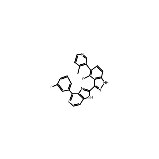 Cc1ccncc1-c1ccc2[nH]nc(-c3nc4c(-c5cccc(F)c5)nccc4[nH]3)c2c1F